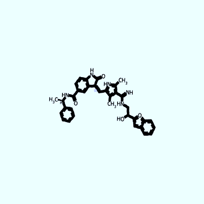 Cc1[nH]c(/C=C2\C(=O)Nc3ccc(C(=O)N[C@H](C)c4ccccc4)cc32)c(C)c1C(=N)NCC(O)c1cc2ccccc2o1